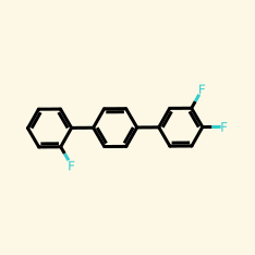 Fc1ccc(-c2ccc(-c3ccccc3F)cc2)cc1F